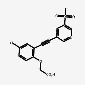 CS(=O)(=O)c1cncc(C#Cc2cc(Cl)ccc2OCC(=O)O)c1